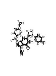 C[C@@H](c1cnc(C2CC2)nc1)n1nc(C#N)c2c(=O)[nH]c([C@H]3CC[C@@H]3c3ncc(F)cn3)nc21